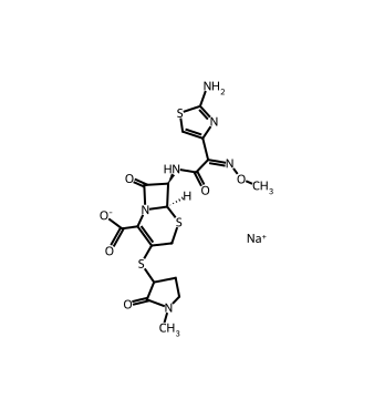 CO/N=C(\C(=O)N[C@@H]1C(=O)N2C(C(=O)[O-])=C(SC3CCN(C)C3=O)CS[C@H]12)c1csc(N)n1.[Na+]